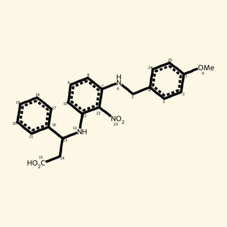 COc1ccc(CNc2cccc(NC(CC(=O)O)c3ccccc3)c2[N+](=O)[O-])cc1